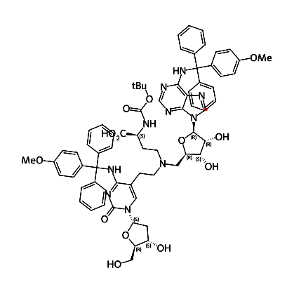 COc1ccc(C(Nc2nc(=O)n([C@@H]3C[C@H](O)[C@@H](CO)O3)cc2CCN(CC[C@H](NC(=O)OC(C)(C)C)C(=O)O)C[C@H]2O[C@@H](n3cnc4c(NC(c5ccccc5)(c5ccccc5)c5ccc(OC)cc5)ncnc43)[C@H](O)[C@@H]2O)(c2ccccc2)c2ccccc2)cc1